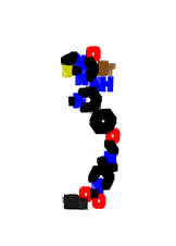 CN1C[C@H](Nc2nc3sccn3c(=O)c2Br)C[C@H](c2ccc(OCCN3CC4(CCN(C(=O)OC(C)(C)C)CC4)C3)cc2)C1